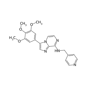 COc1cc(-c2cnc3c(NCc4ccncc4)nccn23)cc(OC)c1OC